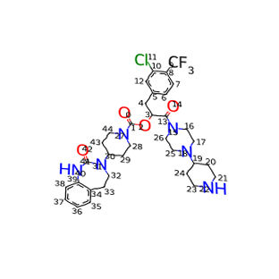 O=C(OC(Cc1ccc(C(F)(F)F)c(Cl)c1)C(=O)N1CCN(C2CCNCC2)CC1)N1CCC(N2CCc3ccccc3NC2=O)CC1